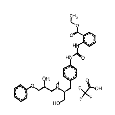 CCOC(=O)c1ccccc1NC(=O)Nc1ccc(C[C@@H](CO)NC[C@H](O)COc2ccccc2)cc1.O=C(O)C(F)(F)F